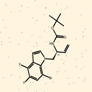 C=C[C@@H](Cn1ccc2c(F)c(F)cc(Br)c21)NC(=O)OC(C)(C)C